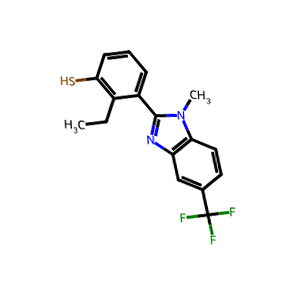 CCc1c(S)cccc1-c1nc2cc(C(F)(F)F)ccc2n1C